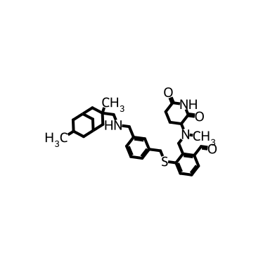 CC1CC2CC(C1)CC(C)(CNCc1cccc(CSc3cccc(C=O)c3CN(C)C3CCC(=O)NC3=O)c1)C2